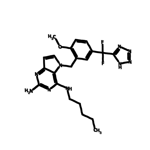 CCCCCNc1nc(N)nc2ccn(Cc3cc(C(F)(F)c4nnn[nH]4)ccc3OC)c12